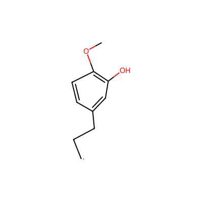 [CH2]CCc1ccc(OC)c(O)c1